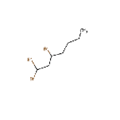 CCCCC(Br)CC(Br)Br